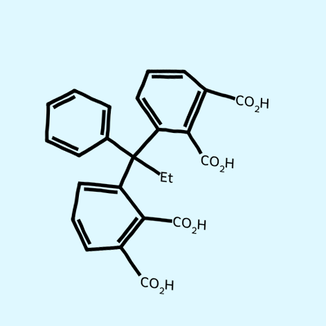 CCC(c1ccccc1)(c1cccc(C(=O)O)c1C(=O)O)c1cccc(C(=O)O)c1C(=O)O